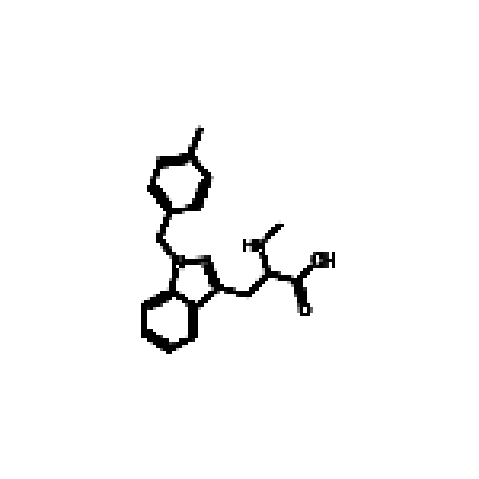 CNC(Cc1cn(Cc2ccc(C)cc2)c2ccccc12)C(=O)O